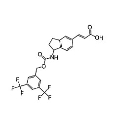 O=C(O)/C=C/c1ccc2c(c1)CCC2NC(=O)OCc1cc(C(F)(F)F)cc(C(F)(F)F)c1